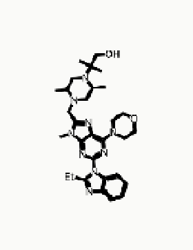 CCc1nc2ccccc2n1-c1nc(N2CCOCC2)c2nc(CN3C[C@H](C)N(C(C)(C)CO)CC3C)n(C)c2n1